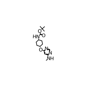 CNc1cc(O[C@H]2CC[C@H](NC(=O)OC(C)(C)C)CC2)ncn1